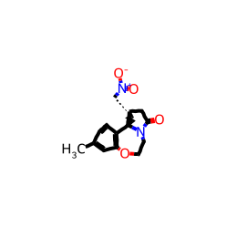 Cc1ccc2c(c1)OCCN1C(=O)CC3[C@H](C[N+](=O)[O-])CCC231